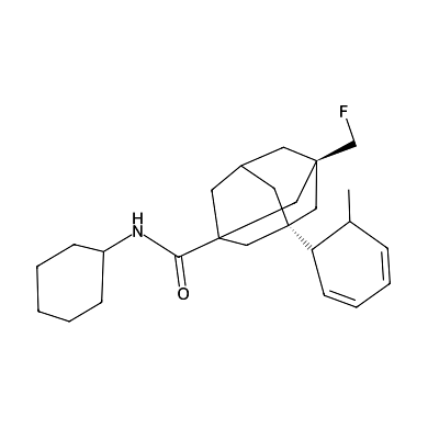 CC1C=CC=CC1[C@]12CC3CC(C(=O)NC4CCCCC4)(C[C@](CF)(C3)C1)C2